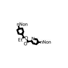 CCCCCCCCCc1ccc(C(CC)OC(=O)c2ccc(CCCCCCCCC)cn2)cc1